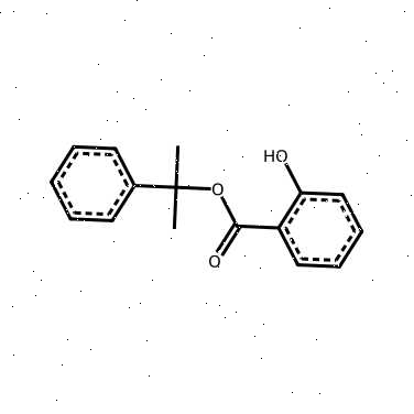 CC(C)(OC(=O)c1ccccc1O)c1ccccc1